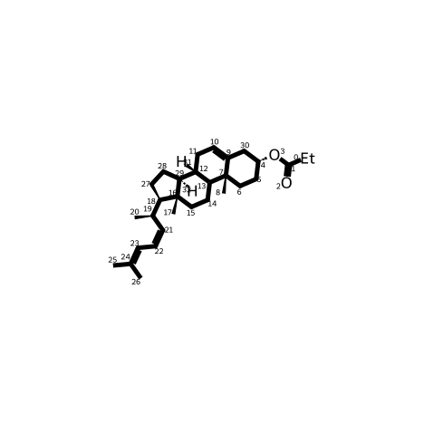 CCC(=O)O[C@@H]1CC[C@@]2(C)C(=CC[C@@H]3C2CC[C@]2(C)[C@@H]([C@H](C)/C=C\C=C(C)C)CC[C@@H]32)C1